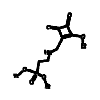 CCOc1c(CNCCP(=O)(OCC)OCC)c(=O)c1=O